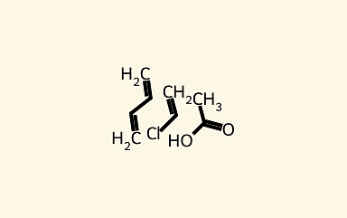 C=CC=C.C=CCl.CC(=O)O